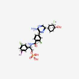 Nc1ncc([C@H]2CC[C@H](O)[C@@H](F)C2)nc1-c1ccc(C(=O)NC(COP(=O)(O)O)c2cc(F)cc(I)c2)c(F)c1